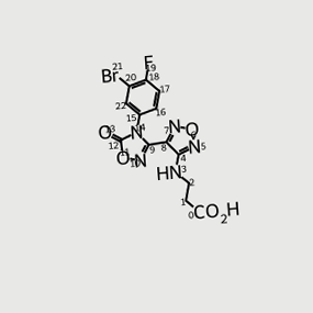 O=C(O)CCNc1nonc1-c1noc(=O)n1-c1ccc(F)c(Br)c1